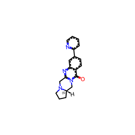 O=c1c2ccc(-c3ccccn3)cc2nc2n1C[C@@H]1CCCN1C2